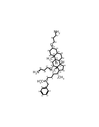 C[C@H](CCCN(C)Cc1ccccc1)C1CC[C@H]2C3CCC4C[C@H](OCCCN)CCC4(C)[C@H]3C[C@H](OCCCN)C12C